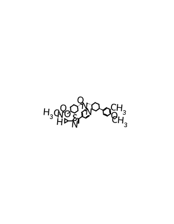 CNC(=O)O[C@H]1CC[C@H](C(=O)N(C[C@H]2CC[C@H](c3ccc(OC)c(C)c3)CC2)c2cc(-c3cnc(C4CC4)s3)ccn2)CC1